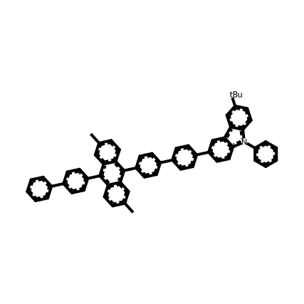 Cc1ccc2c(-c3ccc(-c4ccc(-c5ccc6c(c5)c5cc(C(C)(C)C)ccc5n6-c5ccccc5)cc4)cc3)c3cc(C)ccc3c(-c3ccc(-c4ccccc4)cc3)c2c1